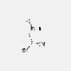 [CH2]CC(C)CNCC